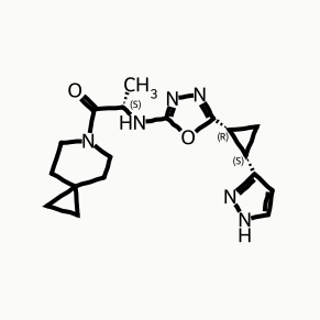 C[C@H](Nc1nnc([C@@H]2C[C@@H]2c2cc[nH]n2)o1)C(=O)N1CCC2(CC1)CC2